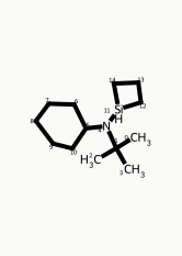 CC(C)(C)N(C1CCCCC1)[SiH]1CCC1